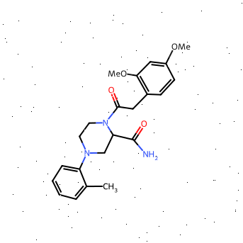 COc1ccc(CC(=O)N2CCN(c3ccccc3C)CC2C(N)=O)c(OC)c1